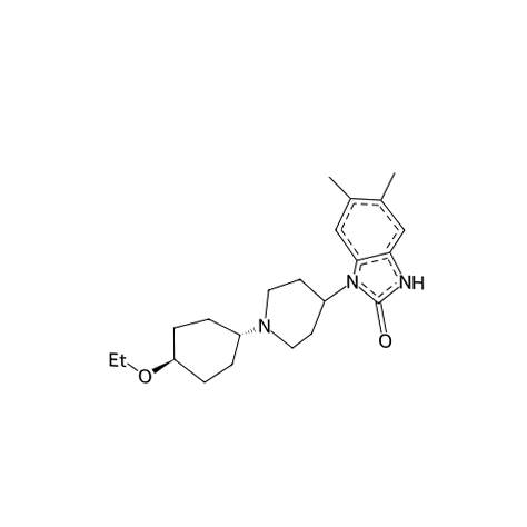 CCO[C@H]1CC[C@H](N2CCC(n3c(=O)[nH]c4cc(C)c(C)cc43)CC2)CC1